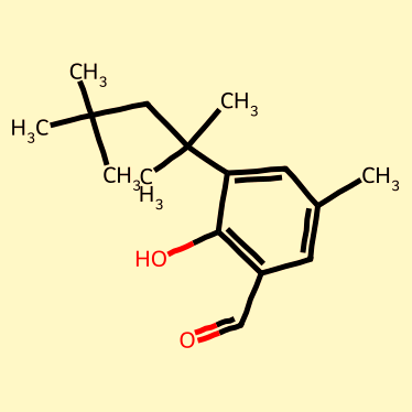 Cc1cc(C=O)c(O)c(C(C)(C)CC(C)(C)C)c1